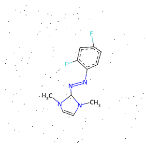 CN1C=CN(C)C1/N=N/c1ccc(F)cc1F